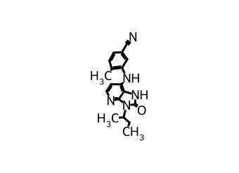 CCC(C)n1c(=O)[nH]c2c(Nc3cc(C#N)ccc3C)ccnc21